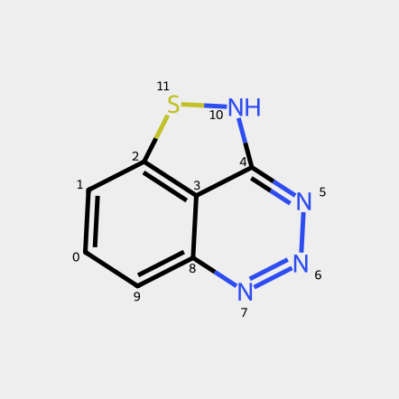 c1cc2c3c(nnnc3c1)NS2